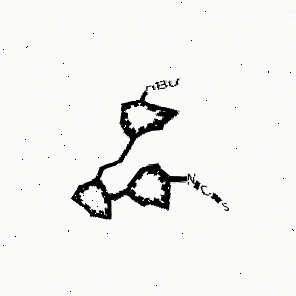 CCCCc1ccc(CCc2ccccc2-c2ccc(N=C=S)cc2)cc1